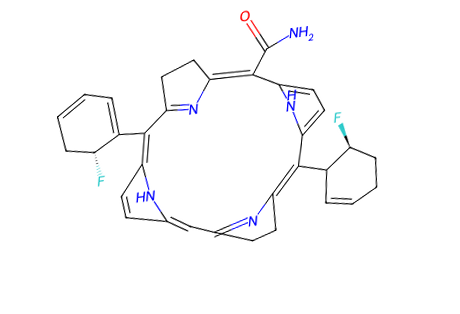 NC(=O)c1c2nc(c(C3=CC=CC[C@H]3F)c3ccc(cc4nc(c(C5C=CCC[C@@H]5F)c5ccc1[nH]5)CC4)[nH]3)CC2